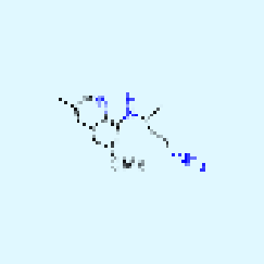 COc1cc(NC(C)CCCN)c2ncc(C)cc2c1